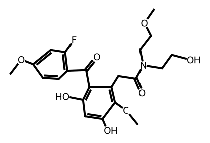 CCc1c(O)cc(O)c(C(=O)c2ccc(OC)cc2F)c1CC(=O)N(CCO)CCOC